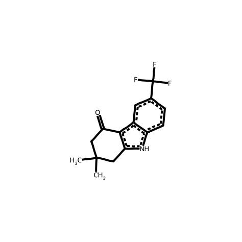 CC1(C)CC(=O)c2c([nH]c3ccc(C(F)(F)F)cc23)C1